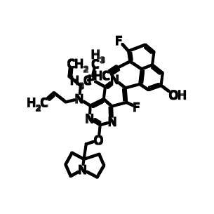 C#Cc1c(F)ccc2cc(O)cc(-c3nc(P(C)C)c4c(N(CC=C)CC=C)nc(OCC56CCCN5CCC6)nc4c3F)c12